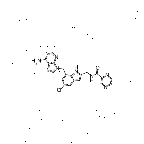 Nc1ncnc2c1ncn2Cc1cc(Cl)cc2cc(CNC(=O)c3cnccn3)[nH]c12